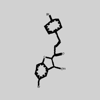 O=C(/C=C/c1ccc(Br)cc1)C1Oc2ccc(Br)cc2C1O